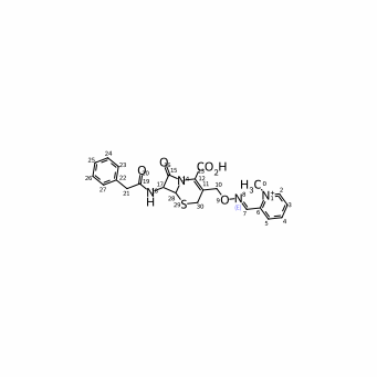 C[n+]1ccccc1/C=N/OCC1=C(C(=O)O)N2C(=O)C(NC(=O)Cc3ccccc3)C2SC1